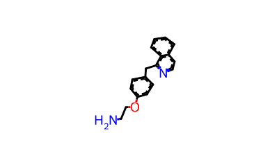 NCCOc1ccc(Cc2nccc3ccccc23)cc1